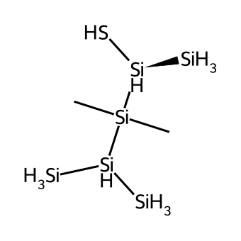 C[Si](C)([SiH]([SiH3])[SiH3])[Si@H]([SiH3])S